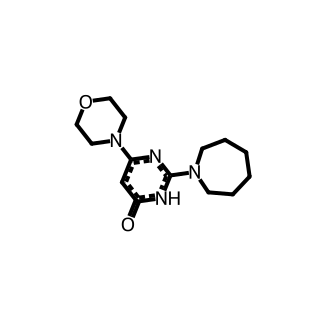 O=c1cc(N2CCOCC2)nc(N2CCCCCC2)[nH]1